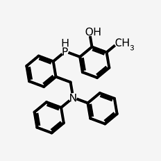 Cc1cccc(Pc2ccccc2CN(c2ccccc2)c2ccccc2)c1O